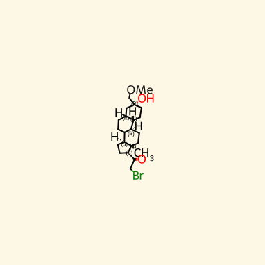 COC[C@@]1(O)CC[C@H]2[C@H](CCC3[C@@H]2CC[C@]2(C)[C@@H](C(=O)CBr)CC[C@@H]32)C1